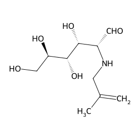 C=C(C)CN[C@@H](C=O)[C@@H](O)[C@H](O)[C@H](O)CO